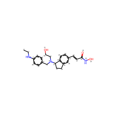 CCNc1ccc(CN(CCO)C2CCc3cc(C=CC(=O)NO)ccc32)cc1